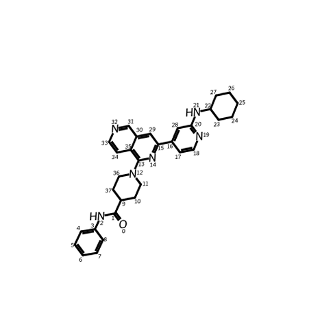 O=C(Nc1ccccc1)C1CCN(c2nc(-c3ccnc(NC4CCCCC4)c3)cc3cnccc23)CC1